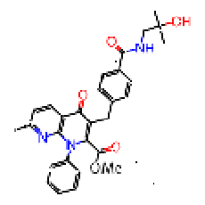 COC(=O)c1c(Cc2ccc(C(=O)NCC(C)(C)O)cc2)c(=O)c2ccc(C)nc2n1-c1ccccc1